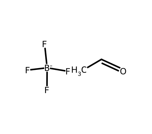 CC=O.F[B-](F)(F)F